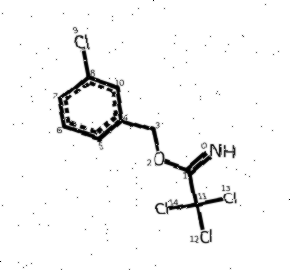 N=C(OCc1cccc(Cl)c1)C(Cl)(Cl)Cl